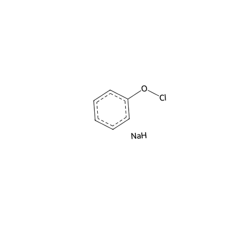 ClOc1ccccc1.[NaH]